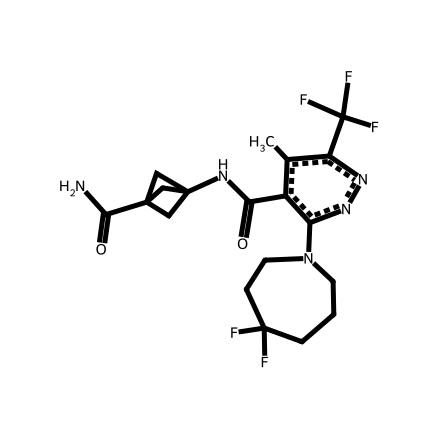 Cc1c(C(F)(F)F)nnc(N2CCCC(F)(F)CC2)c1C(=O)NC12CC(C(N)=O)(C1)C2